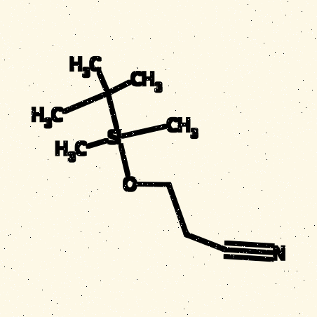 CC(C)(C)[Si](C)(C)OCCC#N